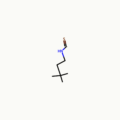 CC(C)(C)CCN[C]=S